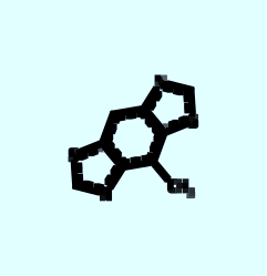 Cc1c2ncsc2cc2ncsc12